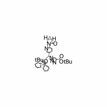 CC(C)(C)OC(=O)c1cn(C(CO[Si](c2ccccc2)(c2ccccc2)C(C)(C)C)c2ccc(N3C[C@H]4C[C@H]4C3=O)nc2)nn1